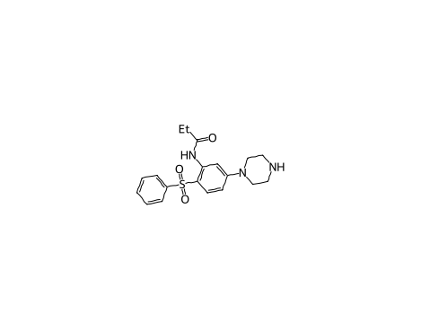 CCC(=O)Nc1cc(N2CCNCC2)ccc1S(=O)(=O)c1ccccc1